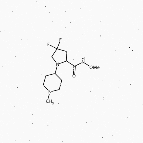 CONC(=O)C1CC(F)(F)CN1C1CCN(C)CC1